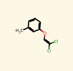 [CH2]c1cccc(OC=C(Cl)Cl)c1